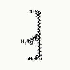 CCCCCCOC(=O)CCCCCCCCCCCC(CCCCCCCCCCCC(=O)OCCCCCC)OC(=O)CCCN(C)C